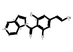 N#CC=Cc1cc(Cl)c(C(=O)n2ccc3cnccc32)c(Cl)c1